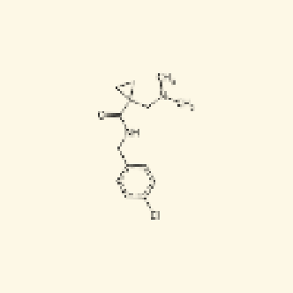 CN(C)CC1(C(=O)NCc2ccc(Cl)cc2)CC1